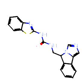 O=C(NCC1c2ccccc2-c2cncn21)Nc1nc2ccccc2s1